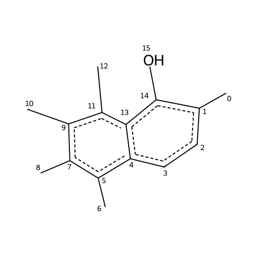 Cc1ccc2c(C)c(C)c(C)c(C)c2c1O